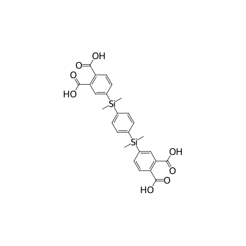 C[Si](C)(c1ccc([Si](C)(C)c2ccc(C(=O)O)c(C(=O)O)c2)cc1)c1ccc(C(=O)O)c(C(=O)O)c1